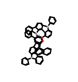 c1ccc(-c2nc(-c3ccccc3)nc(-c3cccc4c3c3c(ccc5c6ccccc6n(-c6ccc7c(c6)c6ccc8c(c9ccccc9n8-c8ccccc8)c6n7-c6ccccc6)c53)n4-c3ccccc3)n2)cc1